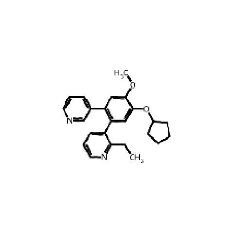 CCc1ncccc1-c1cc(OC2CCCC2)c(OC)cc1-c1cccnc1